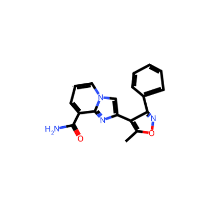 Cc1onc(-c2ccccc2)c1-c1cn2c[c]cc(C(N)=O)c2n1